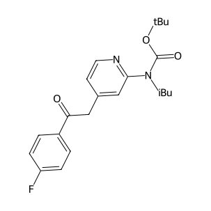 CCC(C)N(C(=O)OC(C)(C)C)c1cc(CC(=O)c2ccc(F)cc2)ccn1